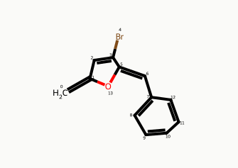 C=c1cc(Br)/c(=C/c2ccccc2)o1